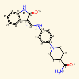 NC(=O)C1CCN(c2ccc(N/C=C3\C(=O)Nc4ccccc43)cc2)CC1